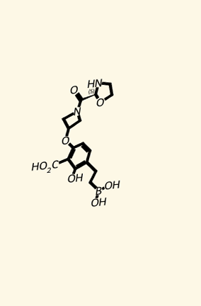 O=C(O)c1c(OC2CN(C(=O)[C@H]3NCCO3)C2)ccc(CCB(O)O)c1O